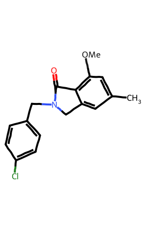 COc1cc(C)cc2c1C(=O)N(Cc1ccc(Cl)cc1)C2